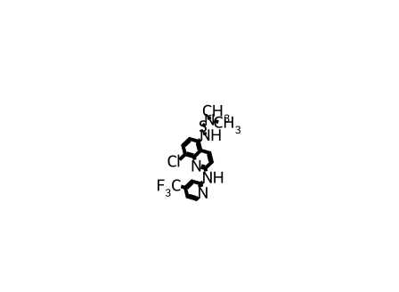 CN(C)SNc1ccc(Cl)c2nc(Nc3cc(C(F)(F)F)ccn3)ccc12